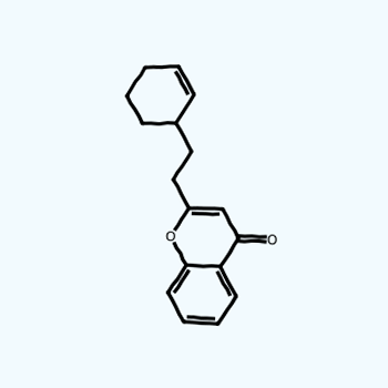 O=c1cc(CCC2C=CCCC2)oc2ccccc12